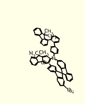 CC(C)(C)c1ccc2c(c1)C1(c3ccccc3-c3ccc(N(c4ccc(-c5ccccc5-c5cccc6c5C(C)(C)c5ccccc5-6)cc4)c4ccc5c(c4)C(C)(C)c4ccccc4-5)cc31)c1cc(C(C)(C)C)ccc1-2